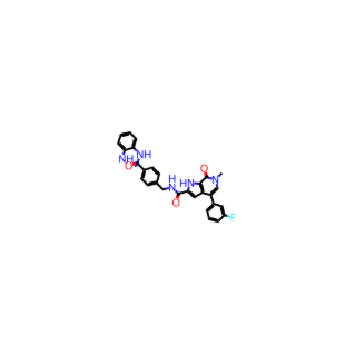 Cn1cc(-c2cccc(F)c2)c2cc(C(=O)NCc3ccc(C(=O)Nc4ccccc4N)cc3)[nH]c2c1=O